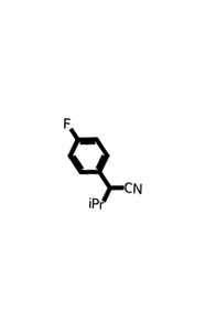 CC(C)C(C#N)c1ccc(F)cc1